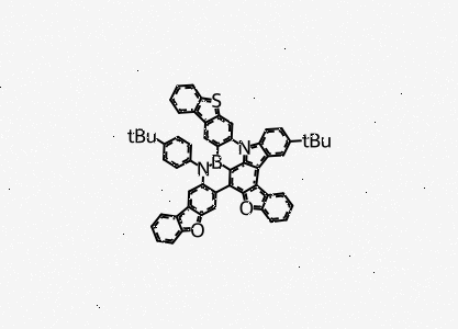 CC(C)(C)c1ccc(N2B3c4cc5c(cc4-n4c6ccc(C(C)(C)C)cc6c6c7c(oc8ccccc87)c(c3c64)-c3cc4oc6ccccc6c4cc32)sc2ccccc25)cc1